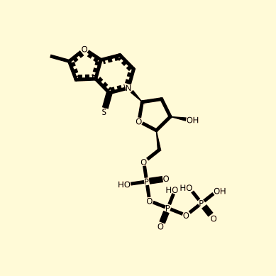 Cc1cc2c(=S)n([C@H]3C[C@@H](O)[C@@H](COP(=O)(O)OP(=O)(O)OP(=O)(O)O)O3)ccc2o1